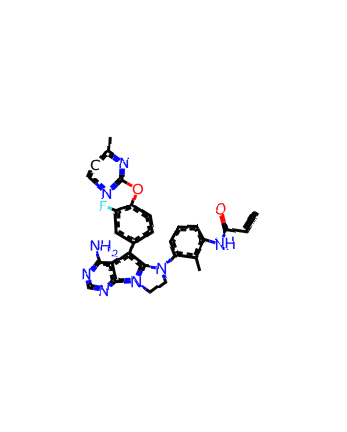 C=CC(=O)Nc1cccc(N2CCn3c2c(-c2ccc(Oc4nccc(C)n4)c(F)c2)c2c(N)ncnc23)c1C